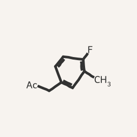 CC(=O)Cc1ccc(F)c(C)c1